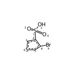 O=S(=O)(O)c1cscc1Br